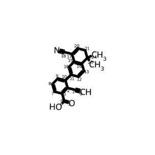 C#Cc1c(C(=O)O)cccc1-c1ccc2c(c1)C(C#N)=CCC2(C)C